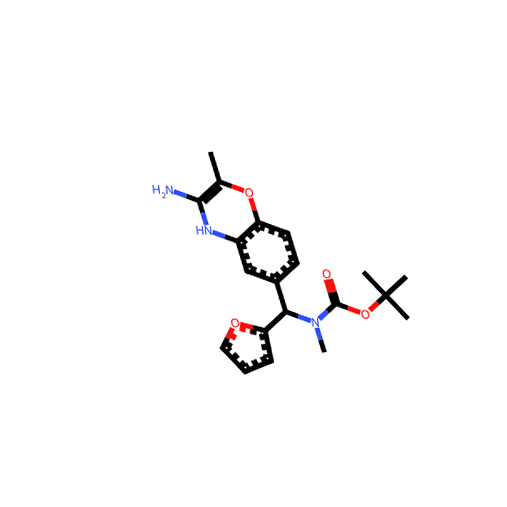 CC1=C(N)Nc2cc(C(c3ccco3)N(C)C(=O)OC(C)(C)C)ccc2O1